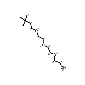 CC(C)(C)CCOCCOCCOCCO